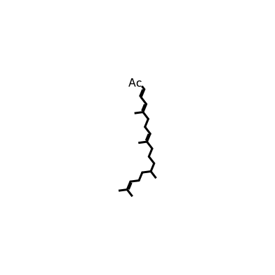 CC(=O)/C=C/C=C(\C)CC/C=C(\C)CCCC(C)CCC=C(C)C